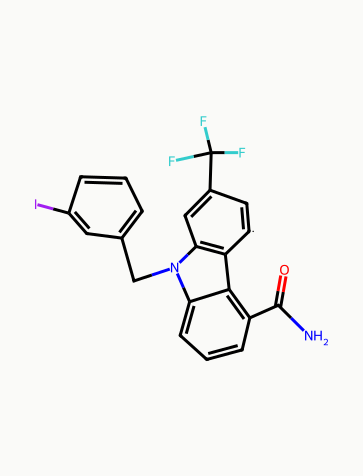 NC(=O)c1cccc2c1c1[c]cc(C(F)(F)F)cc1n2Cc1cccc(I)c1